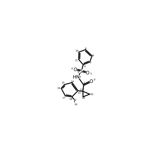 O=C(NS(=O)(=O)c1ccccc1)C1(c2ccccc2F)CC1